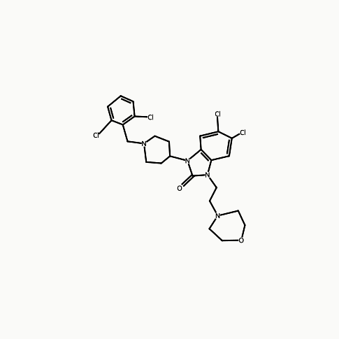 O=c1n(CCN2CCOCC2)c2cc(Cl)c(Cl)cc2n1C1CCN(Cc2c(Cl)cccc2Cl)CC1